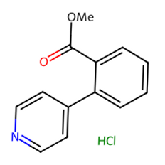 COC(=O)c1ccccc1-c1ccncc1.Cl